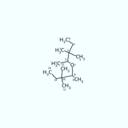 CCC(C)(C)C(C)OC(C)C(C)(C)CC